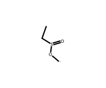 [CH2]OS(=O)CC